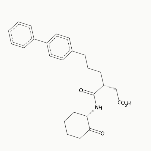 O=C(O)C[C@@H](CCCc1ccc(-c2ccccc2)cc1)C(=O)N[C@H]1CCCCC1=O